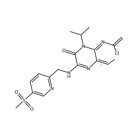 C=C(Cl)/N=C1\C(=C/C)N=C(NCc2ccc(S(C)(=O)=O)cn2)C(=O)N1C(C)C